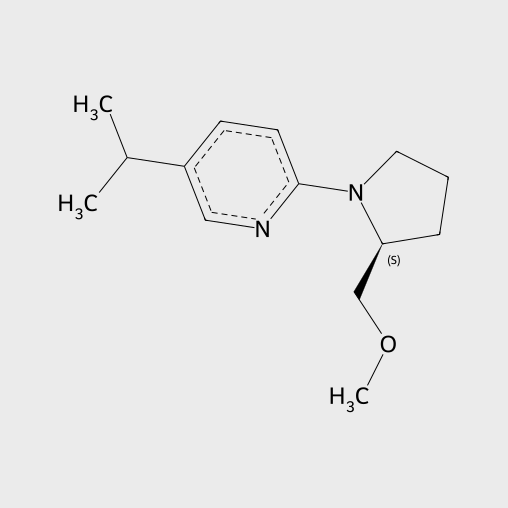 COC[C@@H]1CCCN1c1ccc(C(C)C)cn1